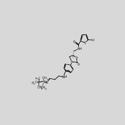 CC(C)(C)[Si](C)(C)OCCCNc1ccc(N2C[C@H](CNC(=O)c3ccc(Cl)s3)OC2=O)cc1